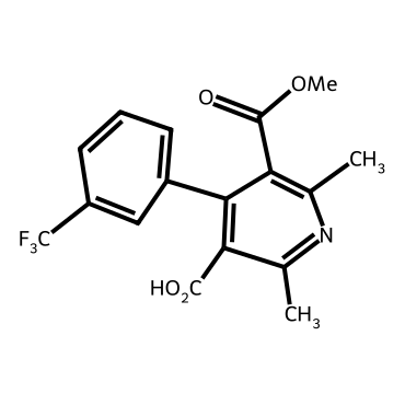 COC(=O)c1c(C)nc(C)c(C(=O)O)c1-c1cccc(C(F)(F)F)c1